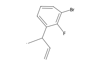 [CH2]C(C=C)c1cccc(Br)c1F